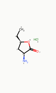 CC[C@@H]1C[C@H](N)C(=O)O1.Cl